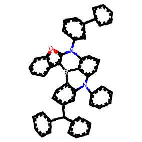 c1ccc(-c2cccc(N3c4cccc5c4B(c4ccc(C(c6ccccc6)c6ccccc6)cc4N5c4ccccc4)c4c3oc3ccccc43)c2)cc1